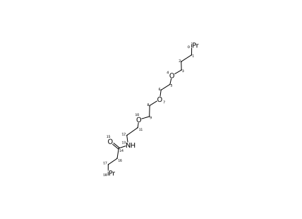 CC(C)CCCOCCOCCOCCNC(=O)CCC(C)C